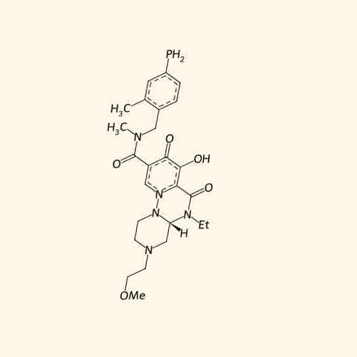 CCN1C(=O)c2c(O)c(=O)c(C(=O)N(C)Cc3ccc(P)cc3C)cn2N2CCN(CCOC)C[C@@H]12